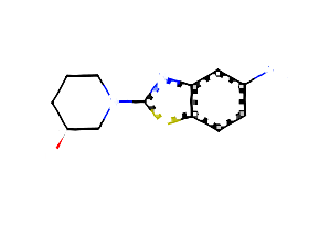 Nc1ccc2sc(N3CCC[C@H](O)C3)nc2c1